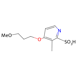 COCCCOc1ccnc(S(=O)(=O)O)c1C